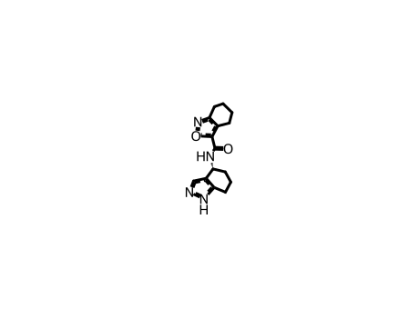 O=C(N[C@@H]1CCCc2[nH]ncc21)c1onc2c1CCCC2